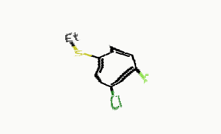 CCSc1ccc(F)c(Cl)c1